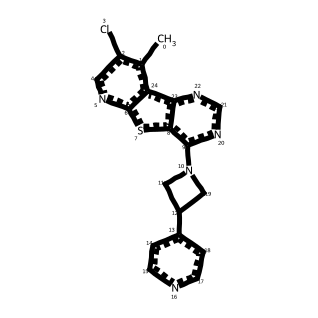 Cc1c(Cl)cnc2sc3c(N4CC(c5ccncc5)C4)ncnc3c12